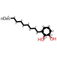 CCCCCCCCCCCCCCCCCCc1cccc(O)c1O